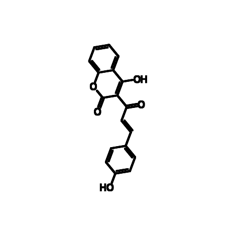 O=C(/C=C/c1ccc(O)cc1)c1c(O)c2ccccc2oc1=O